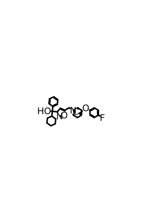 OC(c1ccccc1)(c1cc(C[N+]23CCC(CC2)C(Oc2ccc(F)cc2)C3)on1)C1CCCCC1